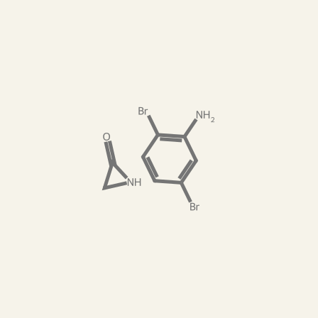 Nc1cc(Br)ccc1Br.O=C1CN1